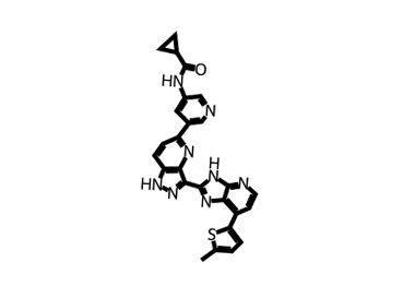 Cc1ccc(-c2ccnc3[nH]c(-c4n[nH]c5ccc(-c6cncc(NC(=O)C7CC7)c6)nc45)nc23)s1